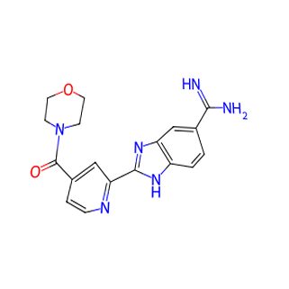 N=C(N)c1ccc2[nH]c(-c3cc(C(=O)N4CCOCC4)ccn3)nc2c1